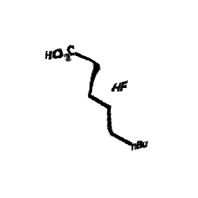 CCCCCCCCC(=O)O.F